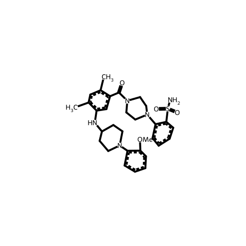 COc1ccccc1N1CCC(Nc2cc(C(=O)N3CCN(c4ccccc4S(N)(=O)=O)CC3)c(C)cc2C)CC1